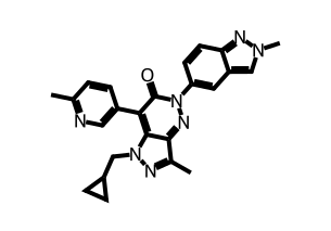 Cc1ccc(-c2c(=O)n(-c3ccc4nn(C)cc4c3)nc3c(C)nn(CC4CC4)c23)cn1